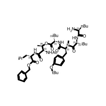 CCCC[C@H](N)C(=O)N[C@H](C(=O)N(C)[C@@H](Cc1ccc(OC(C)(C)C)cc1)C(=O)N[C@H](C(=O)O[C@H](C)[C@H](NC(C)=O)C(=O)N[C@@H](CC(C)C)C(=O)OCc1ccccc1)[C@@H](C)CC)[C@@H](C)CC